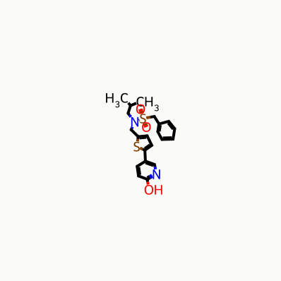 CC(C)CN(Cc1ccc(-c2ccc(O)nc2)s1)S(=O)(=O)Cc1ccccc1